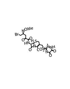 CO/N=C(/CBr)CC(=O)C(=O)N[C@@H]1C(=O)N2C(C(=O)O)=C(CSc3nc(=O)c(=O)[nH]n3C)CS[C@H]12